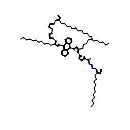 CCCCCCCCCCCCc1ccsc1/C(C)=C/C=C(\I)c1ccc(-c2sc(-c3c4ccccc4c(-c4cc(CCCCCCCCCCCC)c(-c5ccc(-c6ccc(-c7sccc7CCCCCCCCCCCC)s6)s5)s4)c4ccccc34)cc2CCCCCCCCCCCC)s1